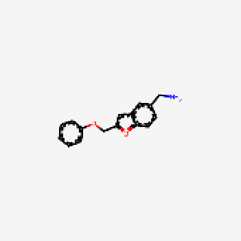 NCc1ccc2oc(COc3ccccc3)cc2c1